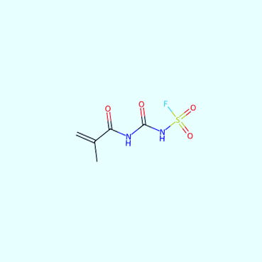 C=C(C)C(=O)NC(=O)NS(=O)(=O)F